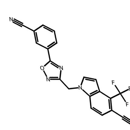 N#Cc1cccc(-c2nc(Cn3ccc4c(C(F)(F)F)c(C#N)ccc43)no2)c1